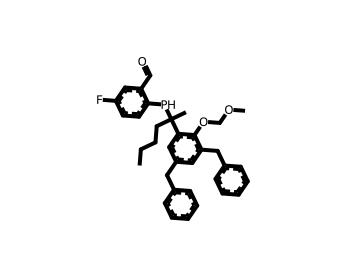 CCCCC(C)(Pc1ccc(F)cc1C=O)c1cc(Cc2ccccc2)cc(Cc2ccccc2)c1OCOC